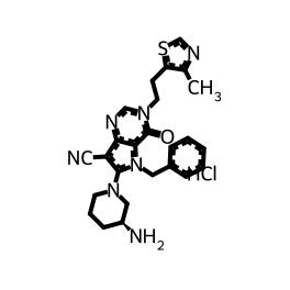 Cc1ncsc1CCn1cnc2c(C#N)c(N3CCC[C@H](N)C3)n(Cc3ccccc3)c2c1=O.Cl